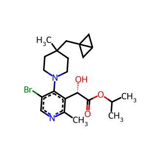 Cc1ncc(Br)c(N2CCC(C)(CC34CC3C4)CC2)c1[C@H](O)C(=O)OC(C)C